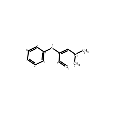 CN(C)/C=C(\C=O)Sc1ccccc1